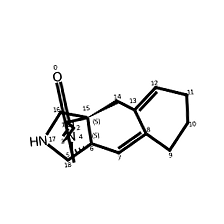 O=C1C=CNC[C@@]23C=C4CCCC=C4C[C@]12CNC3